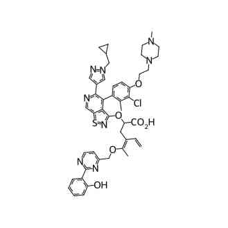 C=C/C(CC(Oc1nsc2cnc(-c3cnn(CC4CC4)c3)c(-c3ccc(OCCN4CCN(C)CC4)c(Cl)c3C)c12)C(=O)O)=C(\C)OCc1ccnc(-c2ccccc2O)n1